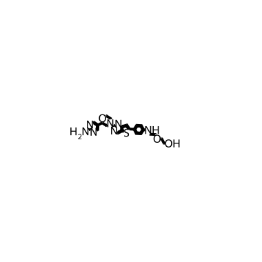 Nc1ncc(C2CN(c3ncc4sc(-c5ccc(NCCOCCO)cc5)cc4n3)CCO2)cn1